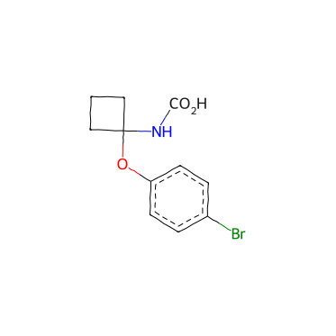 O=C(O)NC1(Oc2ccc(Br)cc2)CCC1